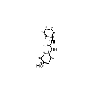 O=C(Nc1ccccc1)NC1CCC(O)CC1